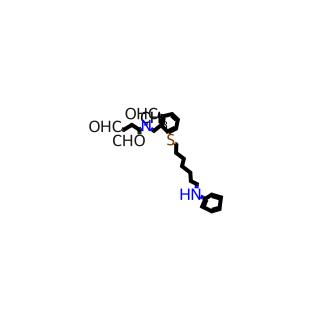 CN(Cc1c(C=O)cccc1SCCCCCCCNc1ccccc1)C(C=O)CCC=O